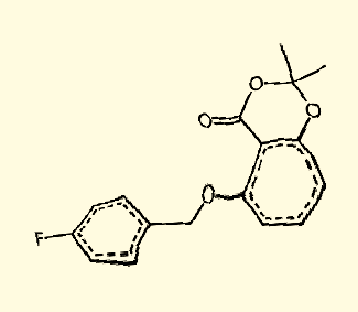 CC1(C)OC(=O)c2c(OCc3ccc(F)cc3)cccc2O1